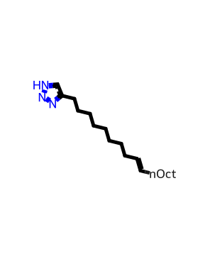 CCCCCCCCC=CCCCCCCCCc1c[nH]nn1